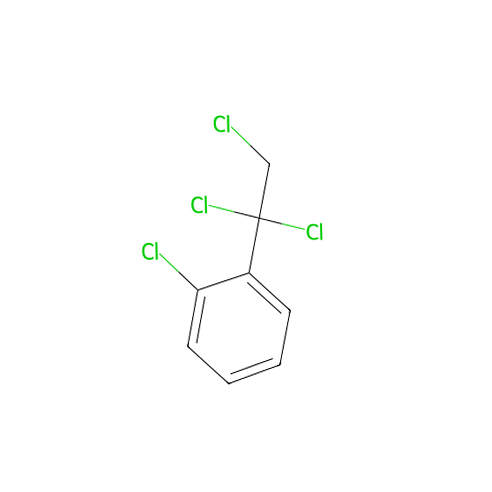 ClCC(Cl)(Cl)c1ccccc1Cl